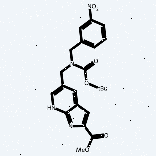 COC(=O)c1cc2cc(CN(Cc3cccc([N+](=O)[O-])c3)C(=O)OC(C)(C)C)c[nH]c-2n1